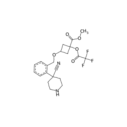 COC(=O)C1(OC(=O)C(F)(F)F)CC(OCc2ccccc2C2(C#N)CCNCC2)C1